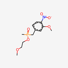 COCCOP(C)(=O)Cc1ccc([N+](=O)[O-])c(OC)c1